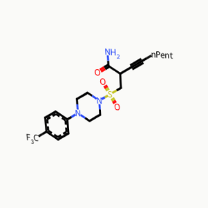 CCCCCC#CC(CS(=O)(=O)N1CCN(c2ccc(C(F)(F)F)cc2)CC1)C(N)=O